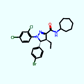 CC[C@@H]1C(C(=O)NC2CCCCCC2)=NN(c2ccc(Cl)cc2Cl)[C@H]1c1ccc(Br)cc1